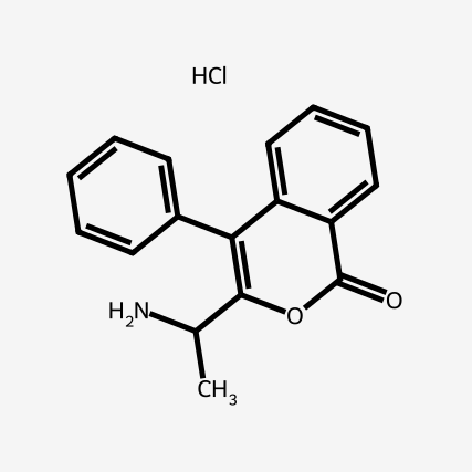 CC(N)c1oc(=O)c2ccccc2c1-c1ccccc1.Cl